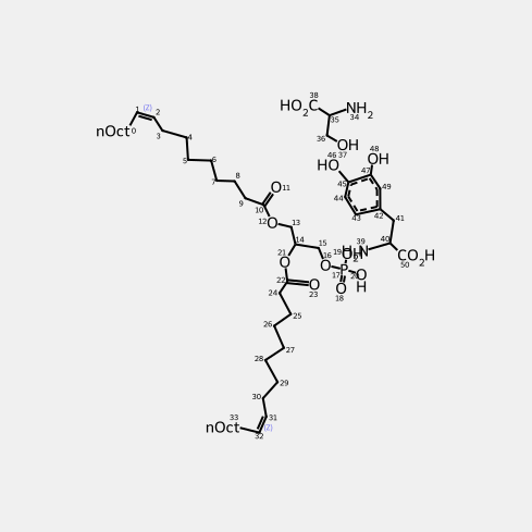 CCCCCCCC/C=C\CCCCCCCC(=O)OCC(COP(=O)(O)O)OC(=O)CCCCCCC/C=C\CCCCCCCC.NC(CO)C(=O)O.NC(Cc1ccc(O)c(O)c1)C(=O)O